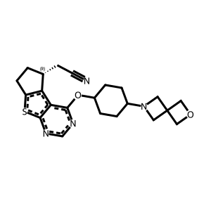 N#CC[C@H]1CCc2sc3ncnc(OC4CCC(N5CC6(COC6)C5)CC4)c3c21